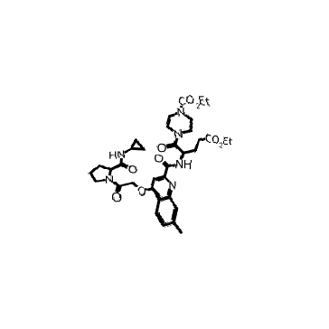 CCOC(=O)CCC(NC(=O)c1cc(OCC(=O)N2CCCC2C(=O)NC2CC2)c2ccc(C)cc2n1)C(=O)N1CCN(C(=O)OCC)CC1